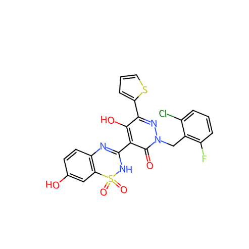 O=c1c(C2=Nc3ccc(O)cc3S(=O)(=O)N2)c(O)c(-c2cccs2)nn1Cc1c(F)cccc1Cl